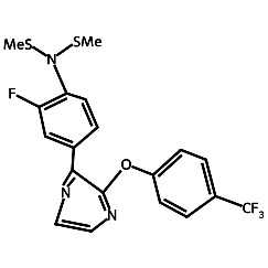 CSN(SC)c1ccc(-c2nccnc2Oc2ccc(C(F)(F)F)cc2)cc1F